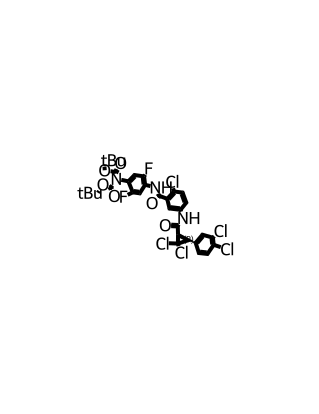 CC(C)(C)OC(=O)N(C(=O)OC(C)(C)C)c1cc(F)c(NC(=O)c2cc(NC(=O)C3[C@H](c4ccc(Cl)c(Cl)c4)C3(Cl)Cl)ccc2Cl)cc1F